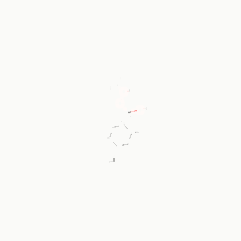 CC(C)c1ccc(C(=O)OOS(=O)(=O)O)cc1